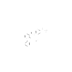 O=C(Nc1ccc(C(O)C2CC2)nc1)c1cccn(-c2ccccc2OCC(F)(F)F)c1=O